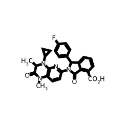 CC1C(=O)N(C)c2ccc(N3C(=O)c4c(C(=O)O)cccc4C3c3ccc(F)cc3)nc2N1C1CC1